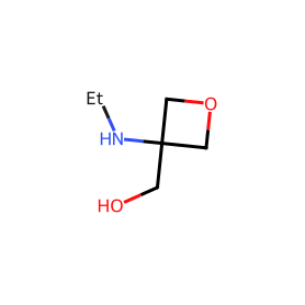 CCNC1(CO)COC1